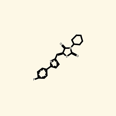 O=C1S/C(=C\c2ccc(-c3ccc(F)cc3)s2)C(=O)N1C1CCCCC1